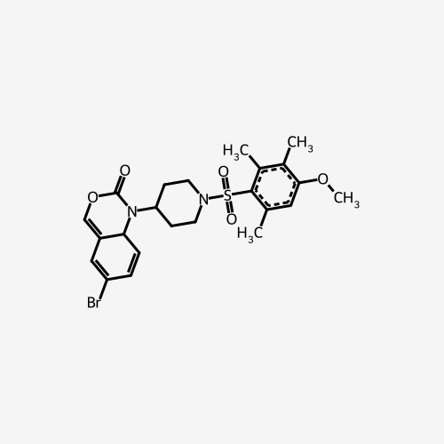 COc1cc(C)c(S(=O)(=O)N2CCC(N3C(=O)OC=C4C=C(Br)C=CC43)CC2)c(C)c1C